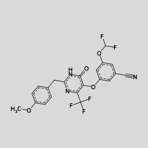 COc1ccc(Cc2nc(C(F)(F)F)c(Oc3cc(C#N)cc(OC(F)F)c3)c(=O)[nH]2)cc1